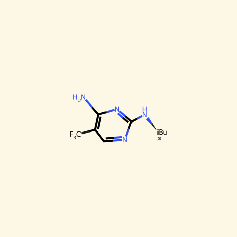 CC[C@H](C)Nc1ncc(C(F)(F)F)c(N)n1